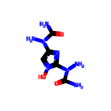 NC(=O)N(N)c1cn(O)c(N(N)C(N)=O)n1